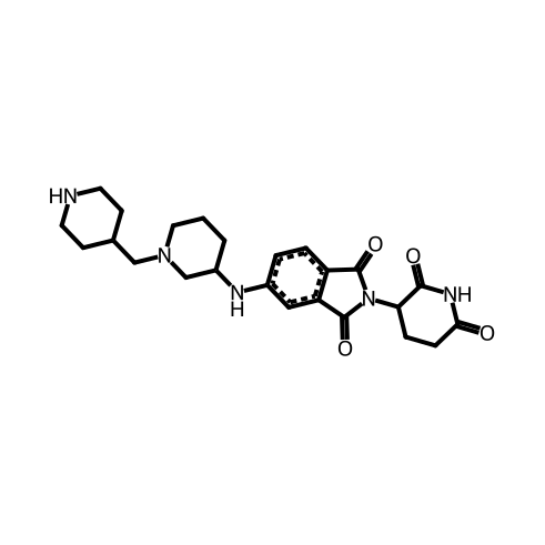 O=C1CCC(N2C(=O)c3ccc(NC4CCCN(CC5CCNCC5)C4)cc3C2=O)C(=O)N1